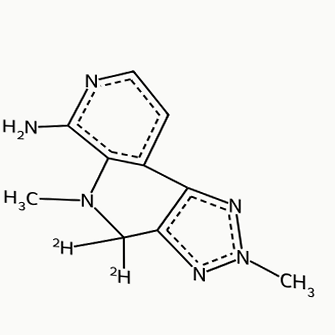 [2H]C1([2H])c2nn(C)nc2-c2ccnc(N)c2N1C